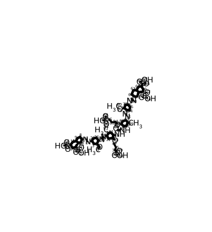 COc1cc(N=Nc2ccc3cc(S(=O)(=O)O)cc(S(=O)(=O)O)c3c2)ccc1N=Nc1cc(OCCCS(=O)(=O)O)c(NC(=O)Nc2cc(C)c(N=Nc3ccc(N=Nc4ccc5cc(S(=O)(=O)O)cc(S(=O)(=O)O)c5c4)cc3OC)cc2OCCCS(=O)(=O)O)cc1C